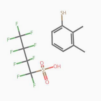 Cc1cccc(S)c1C.O=S(=O)(O)C(F)(F)C(F)(F)C(F)(F)C(F)(F)F